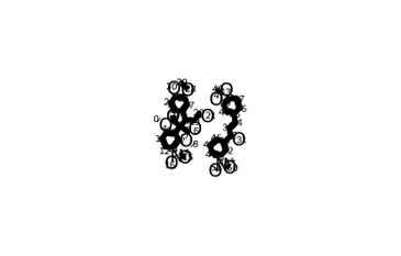 COC(=O)C(C(=O)OC)(c1cccc([N+](=O)[O-])c1)C(CC=O)c1ccc2c(c1)OCO2.O=C(C=Cc1ccc2c(c1)OCO2)c1cccc([N+](=O)[O-])c1